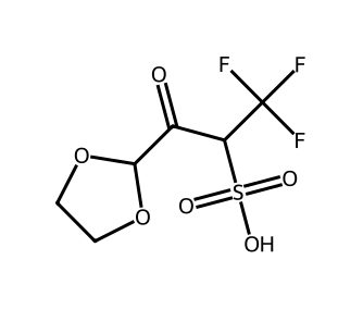 O=C(C1OCCO1)C(C(F)(F)F)S(=O)(=O)O